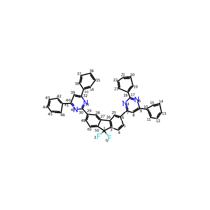 FC1(F)c2ccc(-c3cc(-c4ccccc4)nc(-c4ccccc4)n3)cc2-c2cc(-c3nc(-c4ccccc4)cc(-c4ccccc4)n3)ccc21